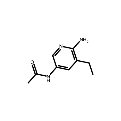 CCc1cc(NC(C)=O)cnc1N